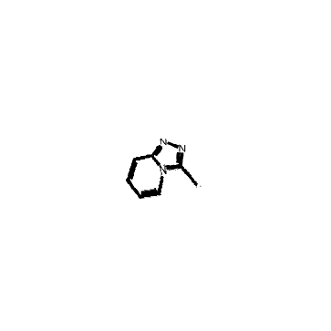 [CH2]c1nnc2ccccn12